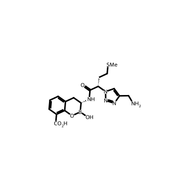 CSCC[C@@H](C(=O)N[C@H]1Cc2cccc(C(=O)O)c2OB1O)n1cc(CN)nn1